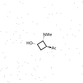 CN[C@@H]1[C@@H](C(C)=O)C[C@@H]1O